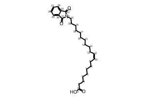 O=C(O)CCCCCCC/C=C\CCCCCCCCCCN1C(=O)c2ccccc2C1=O